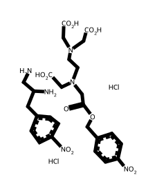 Cl.Cl.NCC(N)Cc1ccc([N+](=O)[O-])cc1.O=C(O)CN(CCN(CC(=O)O)CC(=O)OCc1ccc([N+](=O)[O-])cc1)CC(=O)O